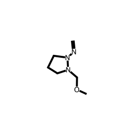 C=NN1CCCN1COC